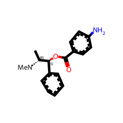 CN[C@H](C)[C@@H](OC(=O)c1ccc(N)cc1)c1ccccc1